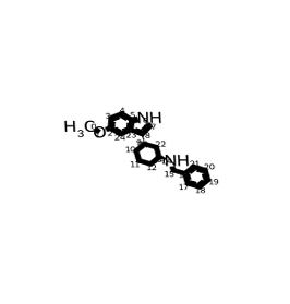 COc1ccc2[nH]cc([C@H]3CCC[C@H](NCc4ccccc4)C3)c2c1